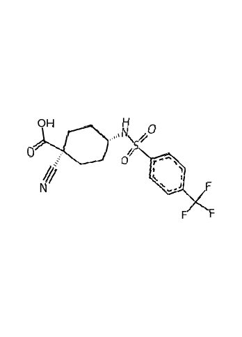 N#C[C@]1(C(=O)O)CC[C@H](NS(=O)(=O)c2ccc(C(F)(F)F)cc2)CC1